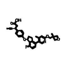 CC#C[C@@H](CC(=O)O)c1ccc(O[C@@H]2CCc3c(-c4cnc(OCC5(C)COC5)cc4C)ccc(F)c32)cc1